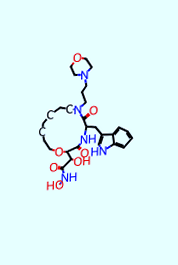 O=C(NO)C(O)C1OCCCCCCCN(CCCN2CCOCC2)C(=O)C(Cc2c[nH]c3ccccc23)NC1=O